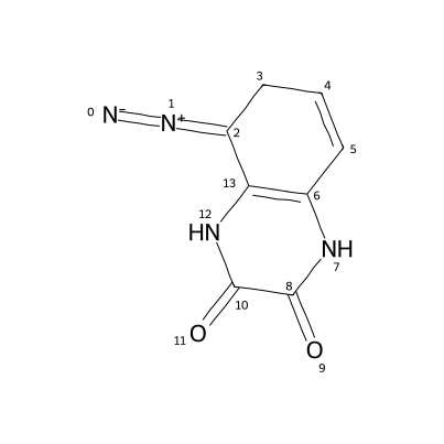 [N-]=[N+]=C1CC=Cc2[nH]c(=O)c(=O)[nH]c21